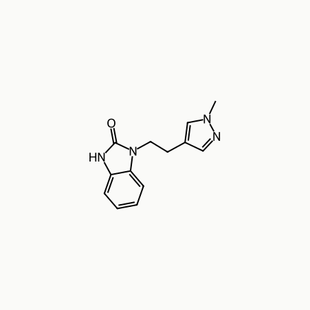 Cn1cc(CCn2c(=O)[nH]c3ccccc32)cn1